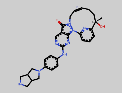 C[C@]1(O)CC/C=C\Cn2c(=O)c3cnc(Nc4ccc(N5CC6CNCC6C5)cc4)nc3n2-c2cccc1n2